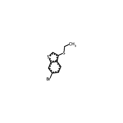 CCSc1csc2cc(Br)ccc12